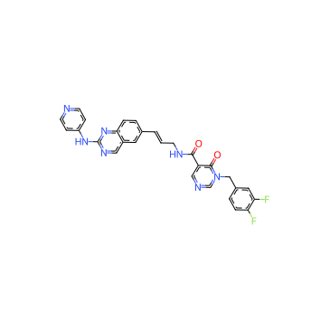 O=C(NCC=Cc1ccc2nc(Nc3ccncc3)ncc2c1)c1cncn(Cc2ccc(F)c(F)c2)c1=O